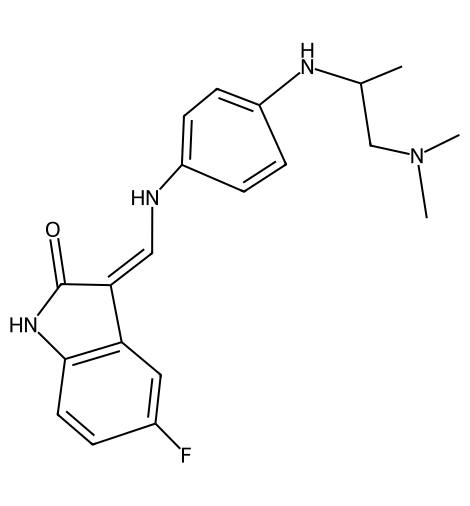 CC(CN(C)C)Nc1ccc(NC=C2C(=O)Nc3ccc(F)cc32)cc1